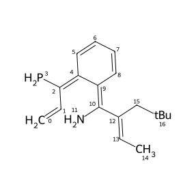 C=C/C(P)=c1/cccc/c1=C(N)\C(=C\C)CC(C)(C)C